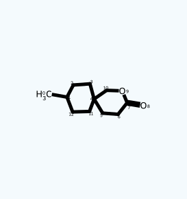 CC1CCC2(CCC(=O)OC2)CC1